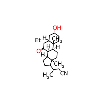 CC[C@H]1C(=O)[C@@H]2[C@H](CC[C@]3(C)[C@@H]([C@H](C)CC#N)CC[C@@H]23)[C@@]2(C)CC[C@@H](O)C[C@@H]12